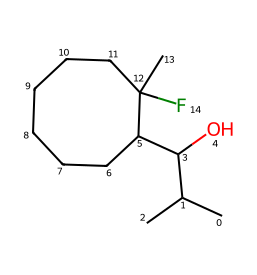 CC(C)C(O)C1CCCCCCC1(C)F